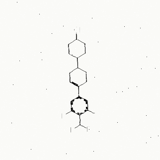 CC1CCC(C2CC=C(c3cc(F)c(C(F)F)c(F)c3)CC2)CC1